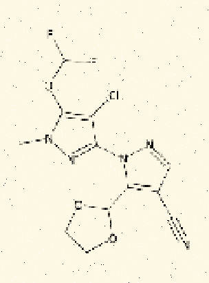 Cn1nc(-n2ncc(C#N)c2C2OCCO2)c(Cl)c1OC(F)F